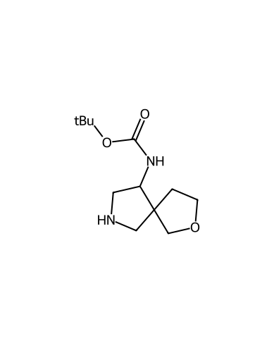 CC(C)(C)OC(=O)NC1CNCC12CCOC2